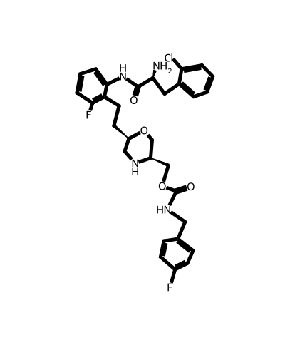 N[C@@H](Cc1ccccc1Cl)C(=O)Nc1cccc(F)c1CC[C@@H]1CN[C@H](COC(=O)NCc2ccc(F)cc2)CO1